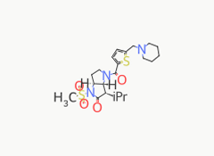 CC(C)[C@H]1C(=O)N(S(C)(=O)=O)[C@H]2CCN(C(=O)c3ccc(CN4CCCCC4)s3)[C@H]12